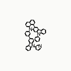 c1ccc(-n2c3ccccc3c3cc4c(cc32)N(c2cccc(-c3ccc5c(c3)c3ccccc3n5-c3cccnc3)c2)c2cccc3cccc-4c23)cc1